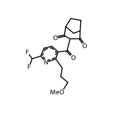 COCCCc1nc(C(F)F)ccc1C(=O)C1C(=O)C2CCC(C2)C1=O